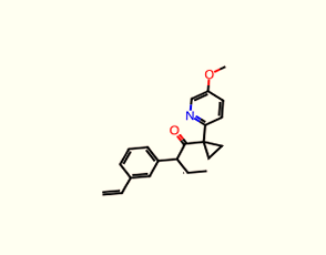 C=Cc1cccc(C([CH]C)C(=O)C2(c3ccc(OC)cn3)CC2)c1